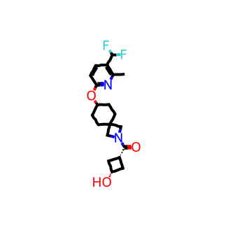 Cc1nc(OC2CCC3(CC2)CN(C(=O)[C@H]2C[C@@H](O)C2)C3)ccc1C(F)F